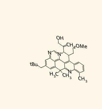 C=C(CO)C1C(CCOC)c2c3c(nc4c(C)cccc24)C(C)(C)c2cc(CC(C)(C)C)cc4nc[n+]1c-3c24